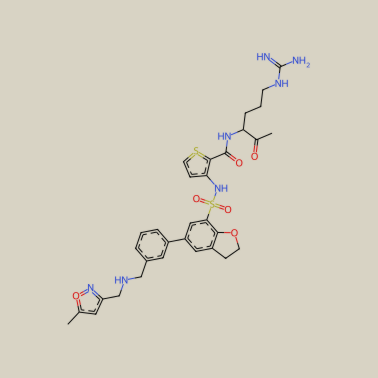 CC(=O)C(CCCNC(=N)N)NC(=O)c1sccc1NS(=O)(=O)c1cc(-c2cccc(CNCc3cc(C)on3)c2)cc2c1OCC2